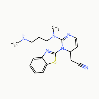 CNCCCN(C)C1=NC=CC(CC#N)N1c1nc2ccccc2s1